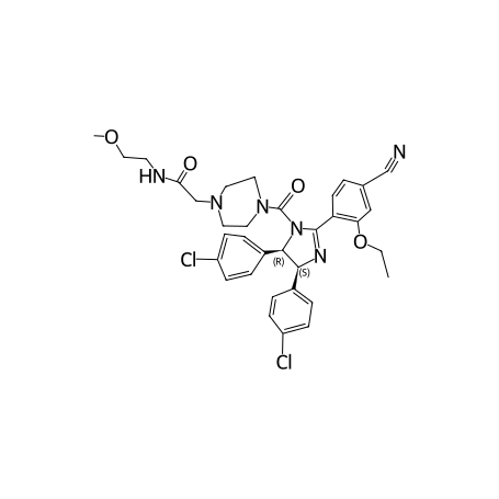 CCOc1cc(C#N)ccc1C1=N[C@@H](c2ccc(Cl)cc2)[C@@H](c2ccc(Cl)cc2)N1C(=O)N1CCN(CC(=O)NCCOC)CC1